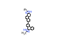 Cc1nc2c3ccccc3c3cc(-c4ccc5c6c(ccc5c4)-c4nc(C(C)C)[nH]c4CC6)ccc3c2[nH]1